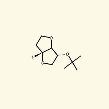 CC(C)(C)O[C@@H]1CO[C@@H]2CCOC21